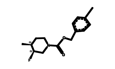 Cc1ccc(COC(=O)N2CC[C@H](C)[C@H](F)C2)cc1